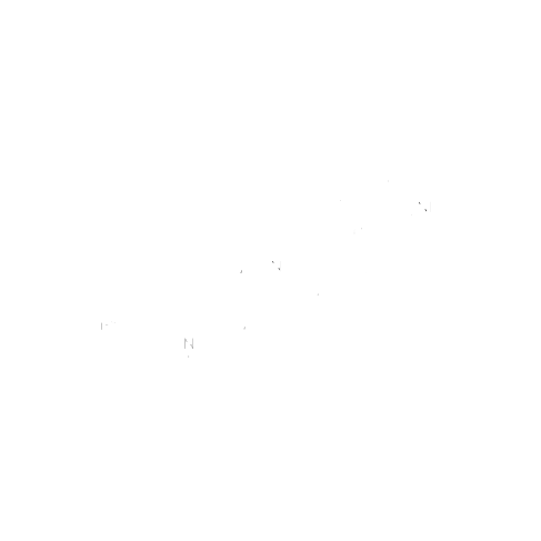 CC(C)c1ccc(N2CCC3(CC2)CNC3)cn1